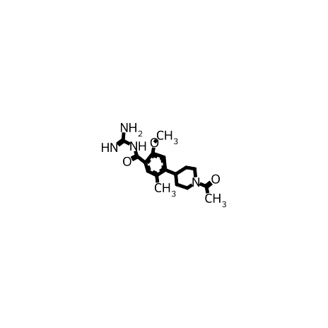 COc1cc(C2CCN(C(C)=O)CC2)c(C)cc1C(=O)NC(=N)N